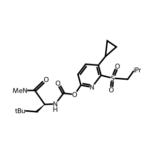 CNC(=O)[C@H](CC(C)(C)C)NC(=O)Oc1ccc(C2CC2)c(S(=O)(=O)CC(C)C)n1